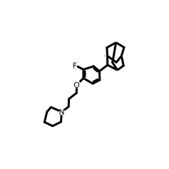 Fc1cc(C2[C]3CC4CC(C3)CC2C4)ccc1OCCCN1CCCCC1